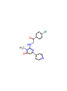 Cn1c(NCC(=O)c2ccc(Br)cc2)nc(-c2ccncc2)cc1=O